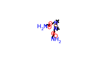 CC(C)(C)N(CCOC(=O)CN)SSN(CCOC(=O)CN)C(C)(C)C